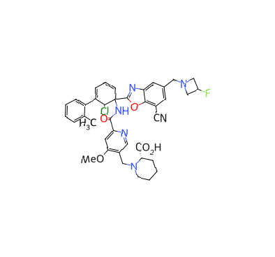 COc1cc(C(=O)NC2(c3nc4cc(CN5CC(F)C5)cc(C#N)c4o3)C=CC=C(c3ccccc3C)C2Cl)ncc1CN1CCCC[C@H]1C(=O)O